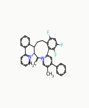 C=C1C2C(CCc3c(F)cc(F)c(F)c3-c3cc(-c4ccccc4)c(C)c[n+]31)c1ccccc1-c1cccc[n+]12